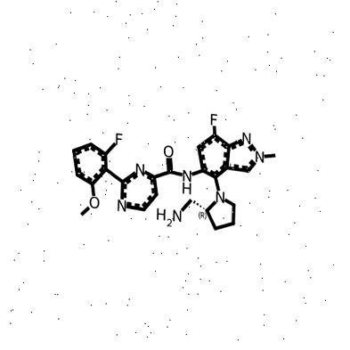 COc1cccc(F)c1-c1nccc(C(=O)Nc2cc(F)c3nn(C)cc3c2N2CCC[C@@H]2CN)n1